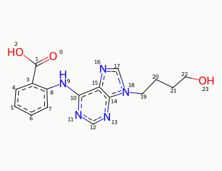 O=C(O)c1ccccc1Nc1ncnc2c1ncn2CCCCO